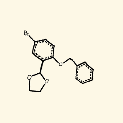 Brc1ccc(OCc2ccccc2)c(C2OCCO2)c1